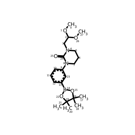 COC(CN1CCCN(c2cccc(B3OC(C)(C)C(C)(C)O3)c2)C1=O)OC